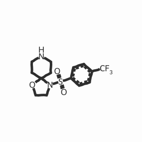 O=S(=O)(c1ccc(C(F)(F)F)cc1)N1CCOC12CCNCC2